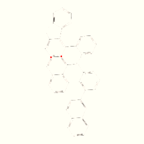 c1cc(-c2ccc3ccccc3c2)cc(N(c2ccccc2-c2cccc3sc4ccccc4c23)c2cccc3ccccc23)c1